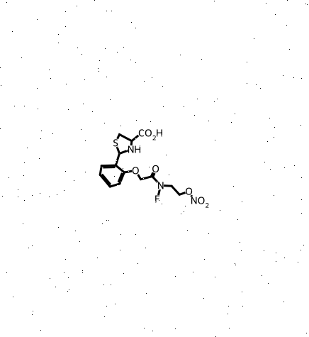 O=C(O)C1CSC(c2ccccc2OCC(=O)N(F)CCO[N+](=O)[O-])N1